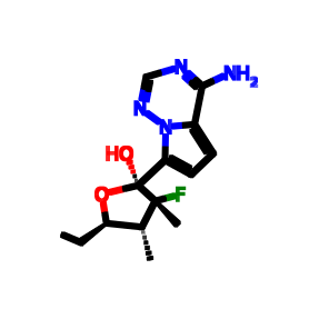 CC[C@H]1O[C@@](O)(c2ccc3c(N)ncnn23)[C@](C)(F)[C@@H]1C